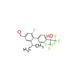 CC(C)c1cc(C=O)cc(F)c1-c1ccc(C(O)(C(F)(F)F)C(F)(F)F)cc1